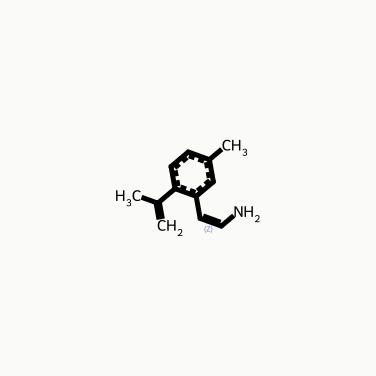 C=C(C)c1ccc(C)cc1/C=C\N